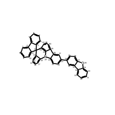 c1ccc2c(c1)-c1ccccc1C21c2ccccc2-n2c3ccc(-c4ccc5oc6ccccc6c5c4)cc3c3cccc1c32